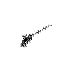 CCCCCCCCCCCCCCCCOCC(OC(C)=O)C(OP1(=O)OC2CC[N+](C)(C)C2O1)C(C)C